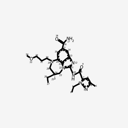 CCn1nc(C)cc1C(=O)Nc1nc2cc(C(N)=O)cc3c2n1C[C@@](C)(CC)CN3CCCOC